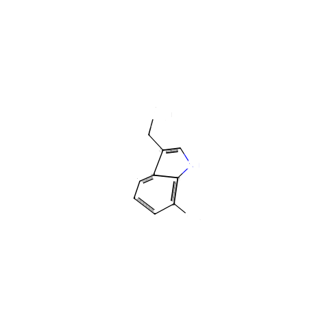 Cc1cccc2c(CC(=O)O)c[nH]c12